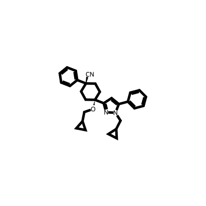 N#C[C@]1(c2ccccc2)CC[C@](OCC2CC2)(c2cc(-c3ccccc3)n(CC3CC3)n2)CC1